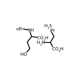 CC(C)CC(N)C(=O)O.CCCNC(CCO)C(=O)O.S